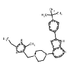 CCc1nc(CN2CCN(c3ccnc4[nH]c(-c5ccc(C(C)(C)C)cc5)nc34)CC2)c(C)[nH]1